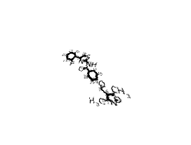 Cc1noc(C)c1COc1ccc(C(=O)Nc2nc(-c3ccccc3F)cs2)cc1